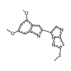 COc1cc(OC)c2cc(-c3cnc4sc(SC)nn34)nn2c1